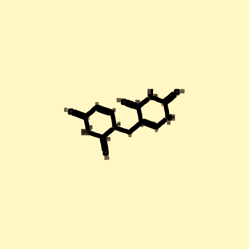 O=c1ccn(Cc2c[nH]c(=O)[nH]c2=O)c(=O)[nH]1